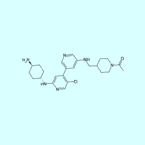 CC(=O)N1CCC(CNc2cncc(-c3cc(N[C@H]4CC[C@H](N)CC4)ncc3Cl)c2)CC1